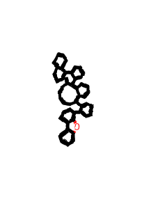 C=C1/C=C\C=C/C/C(c2ccccc2-c2cccc3c2oc2ccccc23)=c2/cccc/c2=C/1c1ccccc1-c1cccc2ccccc12